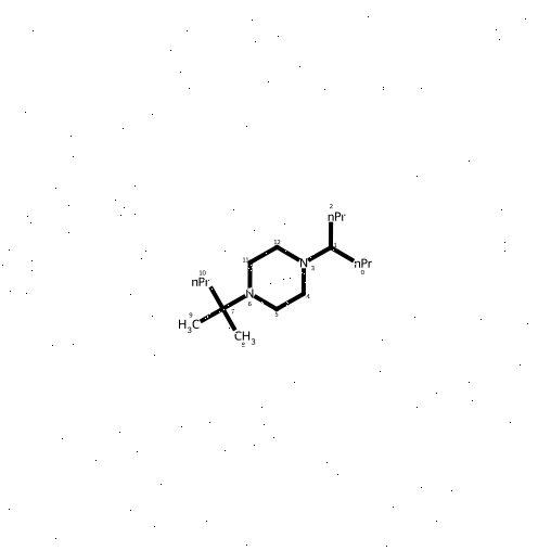 CCCC(CCC)N1CCN(C(C)(C)CCC)CC1